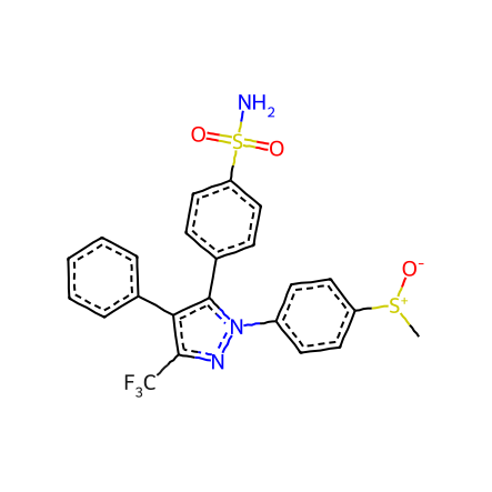 C[S+]([O-])c1ccc(-n2nc(C(F)(F)F)c(-c3ccccc3)c2-c2ccc(S(N)(=O)=O)cc2)cc1